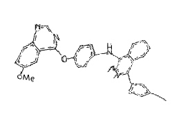 COc1ccc2ncnc(Oc3ccc(Nc4nnc(-c5cc(C)cs5)c5ccccc45)cc3)c2c1